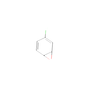 ClC1=CC2OC2C=C1